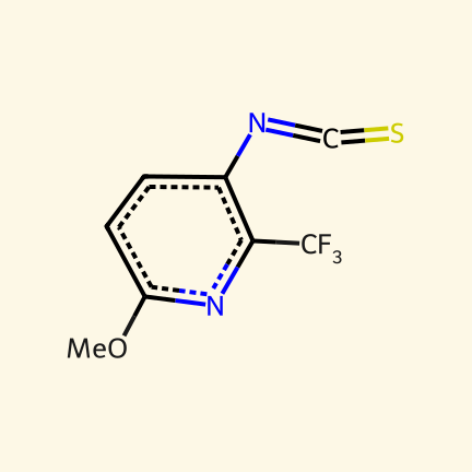 COc1ccc(N=C=S)c(C(F)(F)F)n1